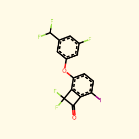 O=C1c2c(I)ccc(Oc3cc(F)cc(C(F)F)c3)c2C1(F)F